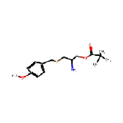 COc1ccc(CSCC(N)COC(=O)C(C)(C)C)cc1